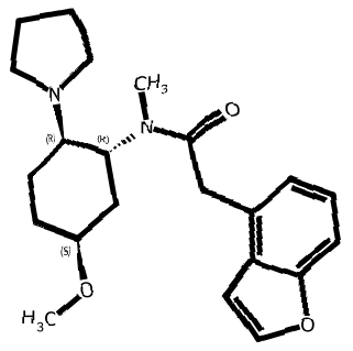 CO[C@H]1CC[C@@H](N2CCCC2)[C@H](N(C)C(=O)Cc2cccc3occc23)C1